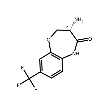 N[C@H]1COc2cc(C(F)(F)F)ccc2NC1=O